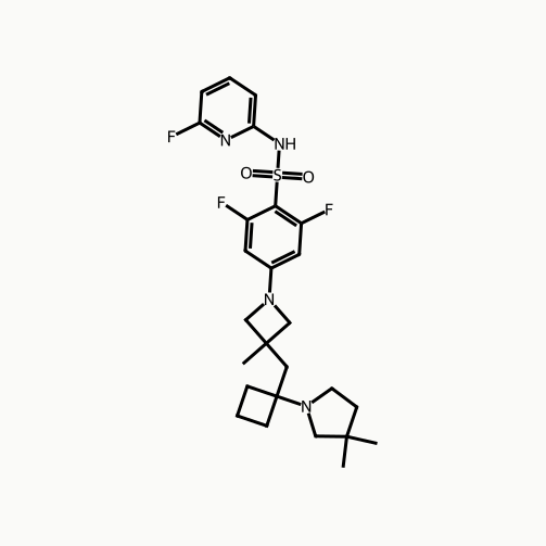 CC1(C)CCN(C2(CC3(C)CN(c4cc(F)c(S(=O)(=O)Nc5cccc(F)n5)c(F)c4)C3)CCC2)C1